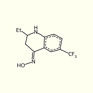 CCC1CC(=NO)c2cc(C(F)(F)F)ccc2N1